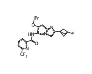 CC(C)Oc1cc2nc(C34CC(F)(C3)C4)cn2cc1NC(=O)c1cccc(C(F)(F)F)n1